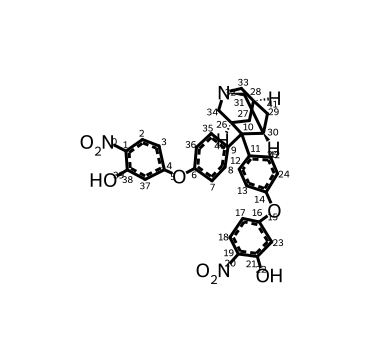 O=[N+]([O-])c1ccc(Oc2ccc(C3(c4ccc(Oc5ccc([N+](=O)[O-])c(O)c5)cc4)[C@@H]4C[C@@H]5C[C@H]3C[N@@](C5)C4)cc2)cc1O